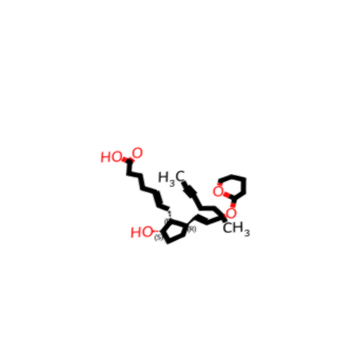 CC#CCCC(C)(C=C[C@H]1CC[C@H](O)[C@@H]1CC=CCCCC(=O)O)OC1CCCCO1